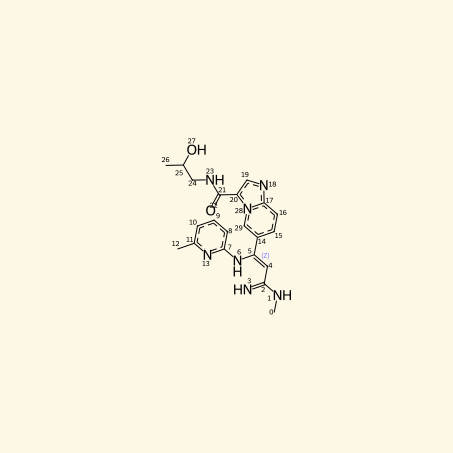 CNC(=N)/C=C(\Nc1cccc(C)n1)c1ccc2ncc(C(=O)NCC(C)O)n2c1